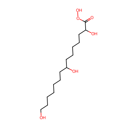 O=C(OO)C(O)CCCCCC(O)CCCCCCCO